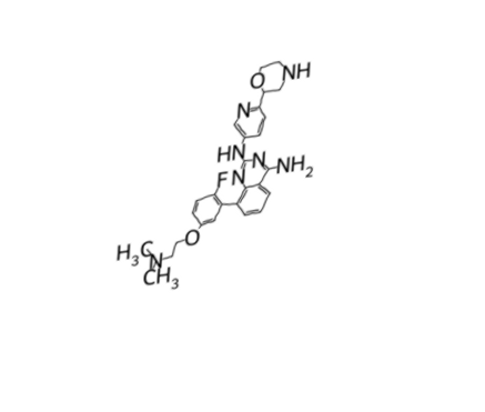 CN(C)CCOc1ccc(F)c(-c2cccc3c(N)nc(Nc4ccc(C5CNCCO5)nc4)nc23)c1